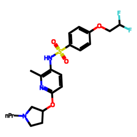 CCCN1CCC(Oc2ccc(NS(=O)(=O)c3ccc(OCC(F)F)cc3)c(C)n2)C1